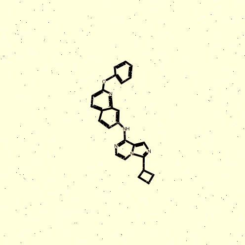 c1ccc(Oc2ccc3ccc(Nc4nccn5c(C6CCC6)ncc45)cc3n2)cc1